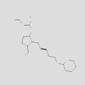 CCOC(OC)OC1CCC(CO)C1CC=CCCOC1CCCCO1